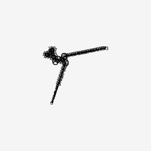 C#CC#CC#CC#CC#CC#CC#CC#CC#CC#CC#COc1cc(COC(=O)c2ccc(P(c3ccccc3)c3ccccc3)cc2)cc(OC#CC#CC#CC#CC#CC#CC#CC#CC#CC#CC#C)c1